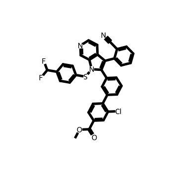 COC(=O)c1ccc(-c2cccc(-c3c(-c4ccccc4C#N)c4ccncc4n3Sc3ccc(C(F)F)cc3)c2)c(Cl)c1